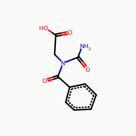 NC(=O)N(CC(=O)O)C(=O)c1ccccc1